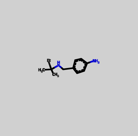 CCC(C)(C)NCc1ccc(N)cc1